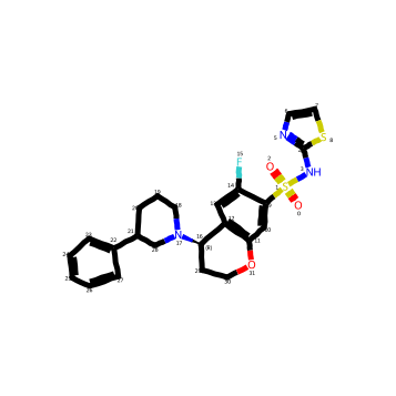 O=S(=O)(Nc1nccs1)c1cc2c(cc1F)[C@H](N1CCCC(c3ccccc3)C1)CCO2